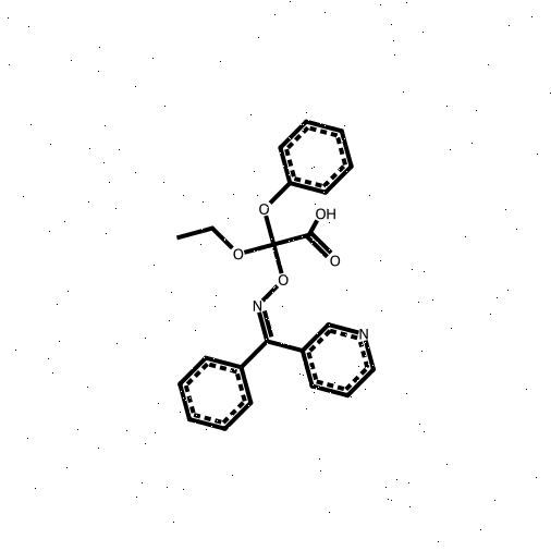 CCOC(ON=C(c1ccccc1)c1cccnc1)(Oc1ccccc1)C(=O)O